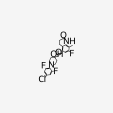 Cc1c(F)cc(OCC2(O)CCN(c3c(F)cc(Cl)cc3F)CC2)c2c1NC(=O)CC2